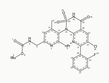 CCCc1nc(CNC(=O)OC(C)(C)C)cc(C)c1N1c2nc(-c3ccccc3F)c(Cl)cc2C(=O)NS1(=O)=O